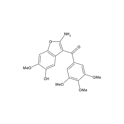 COc1cc2oc(N)c(C(=O)c3cc(OC)c(OC)c(OC)c3)c2cc1O